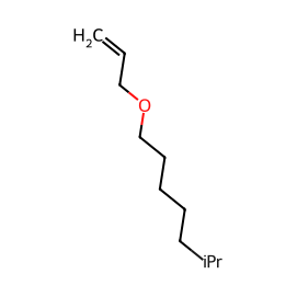 C=CCOCCCCCC(C)C